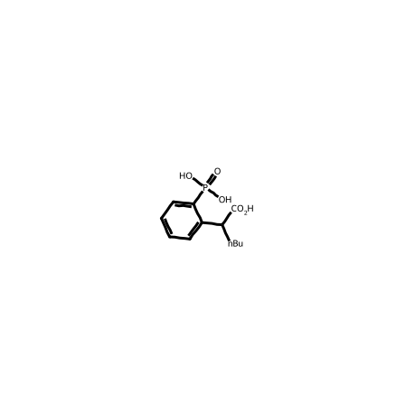 CCCCC(C(=O)O)c1ccccc1P(=O)(O)O